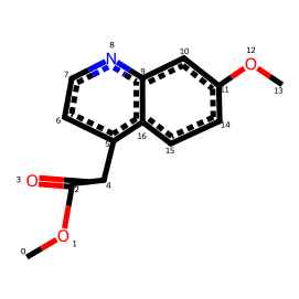 COC(=O)Cc1ccnc2cc(OC)ccc12